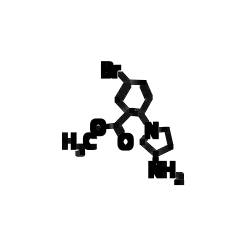 COC(=O)c1cc(Br)ccc1N1CC[C@@H](N)C1